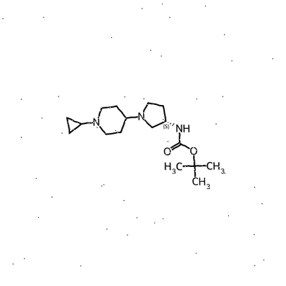 CC(C)(C)OC(=O)N[C@H]1CCN(C2CCN(C3CC3)CC2)C1